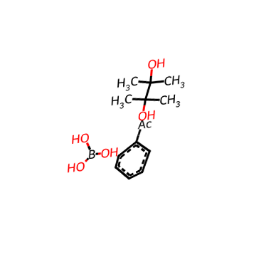 CC(=O)c1ccccc1.CC(C)(O)C(C)(C)O.OB(O)O